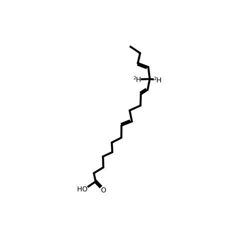 [2H]C([2H])(C=CCC)C=CCCC=CCCCCCCC(=O)O